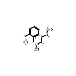 Cc1ccccc1C.N#COCCOC=O.S